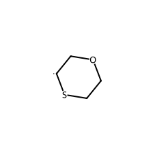 [CH]1COCCS1